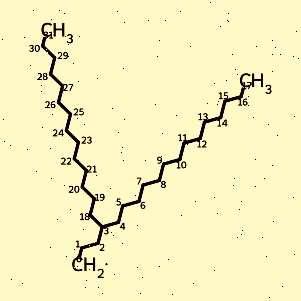 [CH2]CCC(CCCCCCCCCCCCCC)CCCCCCCCCCCCCC